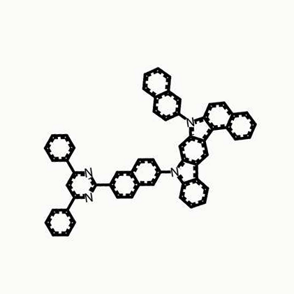 c1ccc(-c2cc(-c3ccccc3)nc(-c3ccc4cc(-n5c6ccccc6c6cc7c8c9ccccc9ccc8n(-c8ccc9ccccc9c8)c7cc65)ccc4c3)n2)cc1